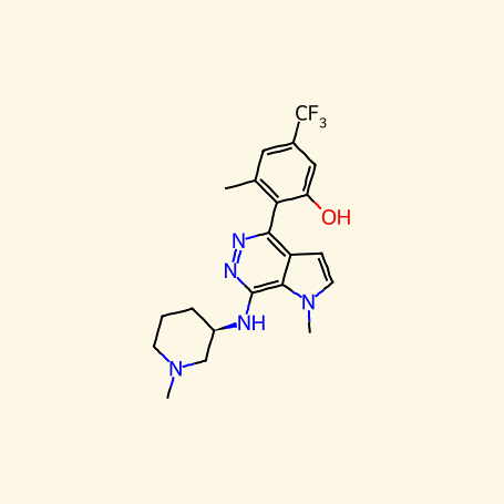 Cc1cc(C(F)(F)F)cc(O)c1-c1nnc(N[C@@H]2CCCN(C)C2)c2c1ccn2C